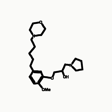 COc1ccc(CCCCCN2CCOCC2)cc1OCC(O)CN1CCCC1